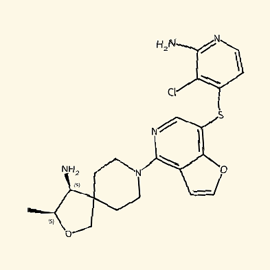 C[C@@H]1OCC2(CCN(c3ncc(Sc4ccnc(N)c4Cl)c4occc34)CC2)[C@@H]1N